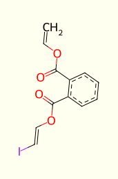 C=COC(=O)c1ccccc1C(=O)OC=CI